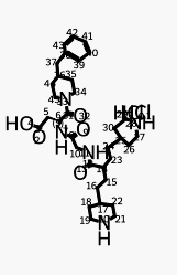 Cl.Cl.O=C(O)C[C@H](NC(=O)CNC(=O)C(CCC1CCNCC1)CCC1CCNCC1)C(=O)N1CCC(Cc2ccccc2)CC1